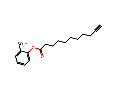 C#CCCCCCCCCC(=O)Oc1ccccc1S(=O)(=O)O